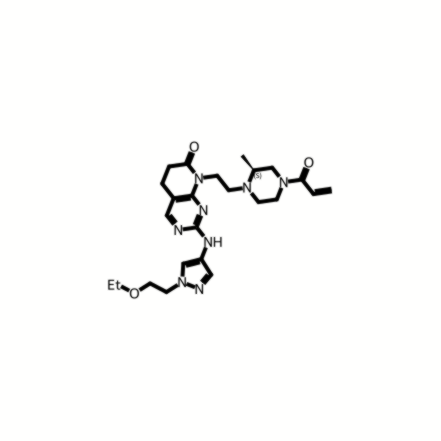 C=CC(=O)N1CCN(CCN2C(=O)CCc3cnc(Nc4cnn(CCOCC)c4)nc32)[C@@H](C)C1